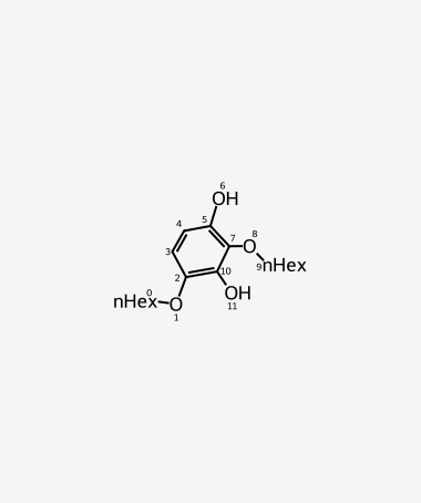 CCCCCCOc1ccc(O)c(OCCCCCC)c1O